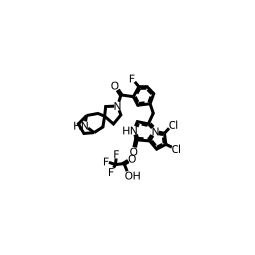 O=C(O)C(F)(F)F.O=C(c1cc(Cc2c[nH]c(=O)c3cc(Cl)c(Cl)n23)ccc1F)N1CCC2(CC3CCC(C2)N3)C1